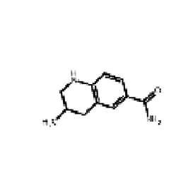 CC1CNc2ccc(C(N)=O)cc2C1